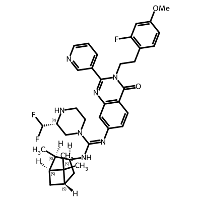 COc1ccc(CCn2c(-c3cccnc3)nc3cc(N=C(N[C@H]4C[C@@H]5C[C@@H]([C@H]4C)C5(C)C)N4CCN[C@@H](C(F)F)C4)ccc3c2=O)c(F)c1